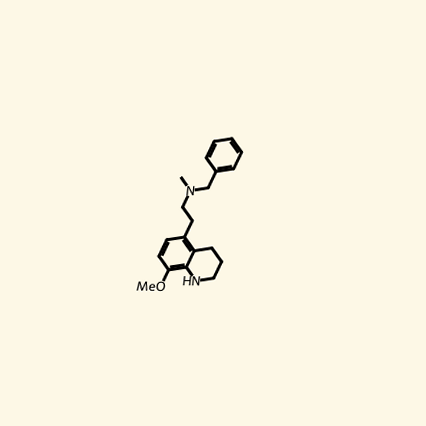 COc1ccc(CCN(C)Cc2ccccc2)c2c1NCCC2